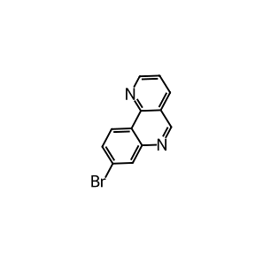 Brc1ccc2c(c1)ncc1cccnc12